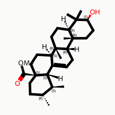 COC(=O)[C@]12CC[C@@H](C)[C@H](C)[C@H]1C1=CC[C@@H]3[C@@](C)(CC[C@H]4C(C)(C)[C@@H](O)CC[C@]34C)[C@@H]1CC2